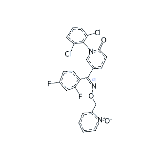 O=c1ccc(/C(=N/OCc2cccc[n+]2[O-])c2ccc(F)cc2F)cn1-c1c(Cl)cccc1Cl